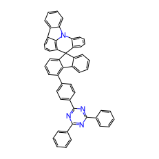 c1ccc(-c2nc(-c3ccccc3)nc(-c3ccc(-c4cccc5c4-c4ccccc4C54c5ccccc5-n5c6ccccc6c6cccc4c65)cc3)n2)cc1